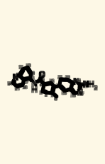 Cc1ccc(C(=O)Nc2cccc3ncccc23)cc1-c1ccc2nc(N)ncc2c1